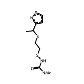 CNC(=O)NSCCSC(C)c1ccsn1